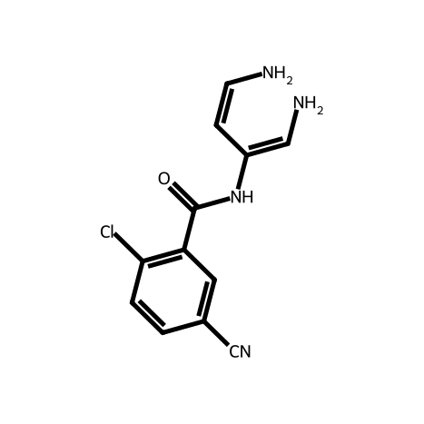 N#Cc1ccc(Cl)c(C(=O)NC(/C=C\N)=C/N)c1